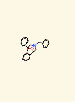 c1ccc(CN2CC3OC(c4ccccc4)(C2)c2ccccc23)cc1